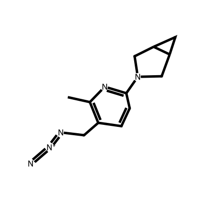 Cc1nc(N2CC3CC3C2)ccc1CN=[N+]=[N-]